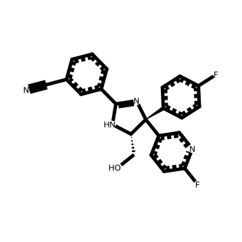 N#Cc1cccc(C2=N[C@](c3ccc(F)cc3)(c3ccc(F)nc3)[C@H](CO)N2)c1